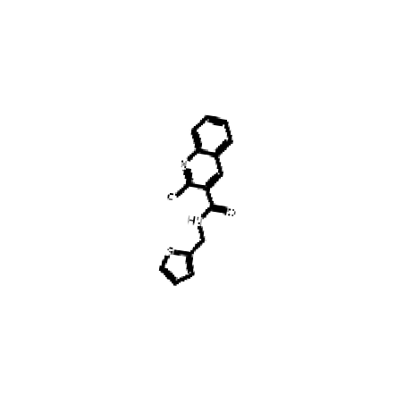 O=C(NCc1cccs1)c1cc2ccccc2nc1Cl